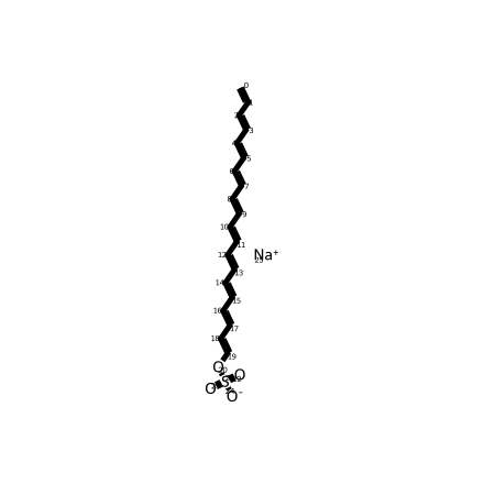 C=CC=CC=CC=CC=CC=CC=CC=CC=CC=COS(=O)(=O)[O-].[Na+]